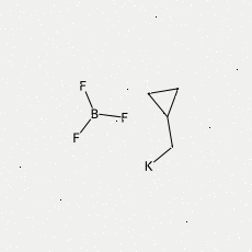 FB(F)F.[K][CH2]C1CC1